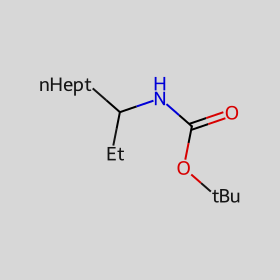 CCCCCCCC(CC)NC(=O)OC(C)(C)C